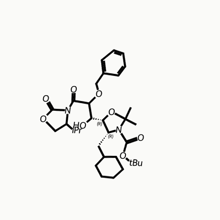 CC(C)C1COC(=O)N1C(=O)C(OCc1ccccc1)C(O)[C@@H]1OC(C)(C)N(C(=O)OC(C)(C)C)[C@@H]1CC1CCCCC1